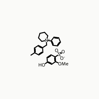 COc1cc(O)ccc1S(=O)(=O)[O-].Cc1ccc(C[N+]2(c3ccccc3)CCCCC2)cc1